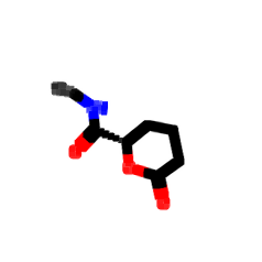 CC(C)(C)NC(=O)[C@@H]1CCCC(=O)O1